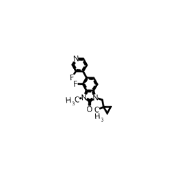 Cn1c(=O)n(CC2(C)CC2)c2ccc(-c3ccncc3F)c(F)c21